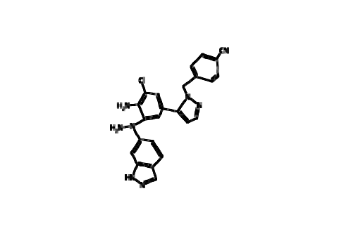 N#Cc1ccc(Cn2nccc2-c2cc(Cl)c(N)c(N(N)c3ccc4cn[nH]c4c3)c2)cc1